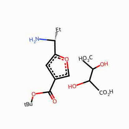 CC[C@@H](N)c1cc(C(=O)OC(C)(C)C)co1.O=C(O)C(O)C(O)C(=O)O